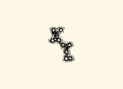 c1ccc(-c2nc(-n3c4ccccc4c4cc(-c5ccc6c(c5)c5ccccc5n6-c5ccc(-c6cccc7ccccc67)cc5)ccc43)nc3ccccc23)cc1